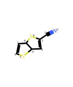 N#CC1=CC2SC=CC2S1